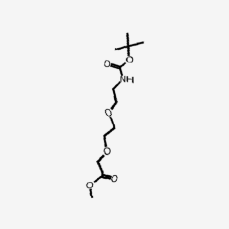 COC(=O)COCCOCCNC(=O)OC(C)(C)C